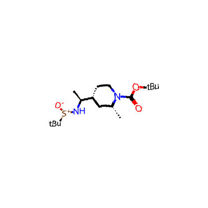 C[C@H](N[S@+]([O-])C(C)(C)C)[C@@H]1CCN(C(=O)OC(C)(C)C)[C@H](C)C1